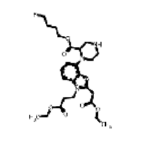 CCOC(=O)CCn1c(CC(=O)OCC)nc2c(N3CCNCC3C(=O)OCCCCF)cccc21